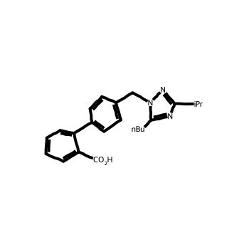 CCCCc1nc(C(C)C)nn1Cc1ccc(-c2ccccc2C(=O)O)cc1